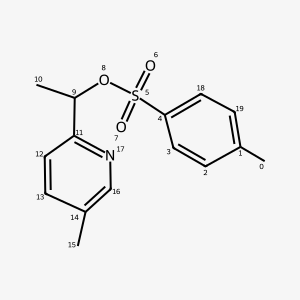 Cc1ccc(S(=O)(=O)OC(C)c2ccc(C)cn2)cc1